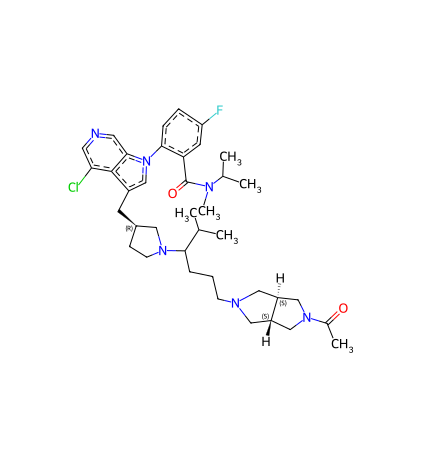 CC(=O)N1C[C@@H]2CN(CCCC(C(C)C)N3CC[C@@H](Cc4cn(-c5ccc(F)cc5C(=O)N(C)C(C)C)c5cncc(Cl)c45)C3)C[C@H]2C1